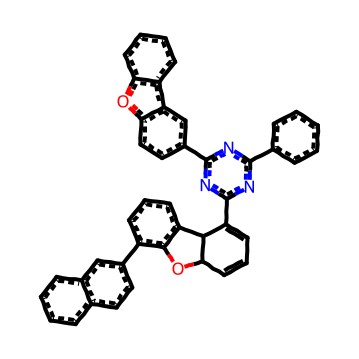 C1=CC2Oc3c(-c4ccc5ccccc5c4)cccc3C2C(c2nc(-c3ccccc3)nc(-c3ccc4oc5ccccc5c4c3)n2)=C1